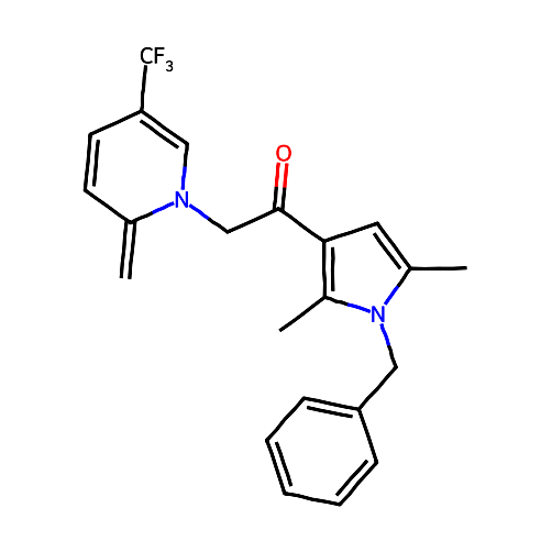 C=C1C=CC(C(F)(F)F)=CN1CC(=O)c1cc(C)n(Cc2ccccc2)c1C